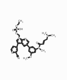 CCOP(=O)(O)OCn1cc(-c2ccnc(C#N)c2)c2cc(-c3cc(OC)cc(N(C)C(=O)C=CCN(C)C)c3)cnc21